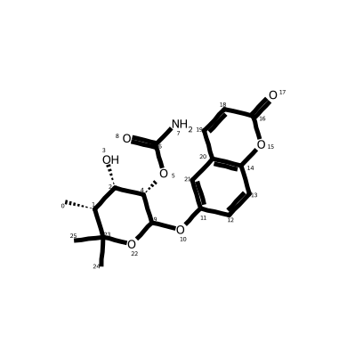 C[C@@H]1[C@H](O)[C@H](OC(N)=O)C(Oc2ccc3oc(=O)ccc3c2)OC1(C)C